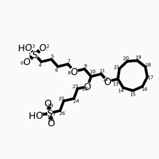 O=S(=O)(O)CCCCOCC(COC1CCCCCCCC1)OCCCCS(=O)(=O)O